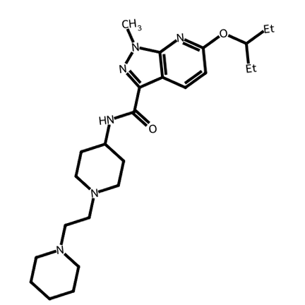 CCC(CC)Oc1ccc2c(C(=O)NC3CCN(CCN4CCCCC4)CC3)nn(C)c2n1